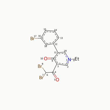 CCn1cc(C(=O)C(Br)Br)c(=O)c(-c2cccc(Br)c2)c1